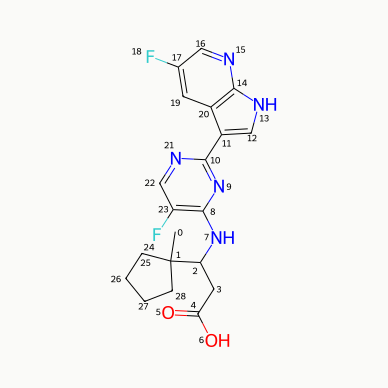 CC1(C(CC(=O)O)Nc2nc(-c3c[nH]c4ncc(F)cc34)ncc2F)CCCC1